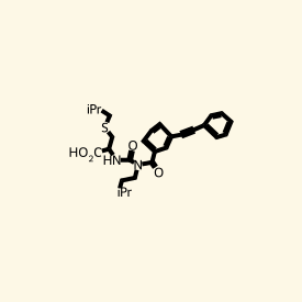 CC(C)CCN(C(=O)NC(CSCC(C)C)C(=O)O)C(=O)c1cccc(C#Cc2ccccc2)c1